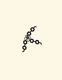 CCc1ccc(-c2ccc(OP(=O)(Oc3ccc(-c4ccc(CC)cc4)cc3)Oc3ccc(-c4ccc(CC)cc4)cc3)cc2)cc1